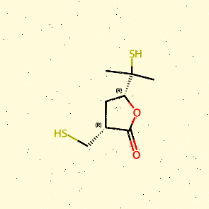 CC(C)(S)[C@H]1C[C@@H](CS)C(=O)O1